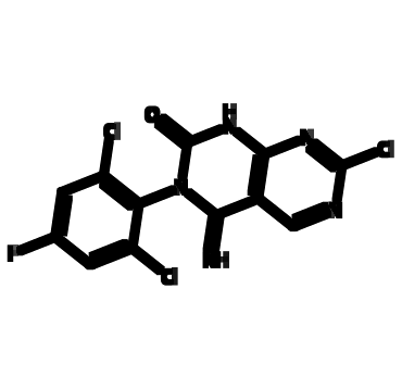 N=c1c2cnc(Cl)nc2[nH]c(=O)n1-c1c(Cl)cc(F)cc1Cl